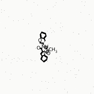 CS(=O)(=O)n1c(C(=O)N[C@H](C=O)Cc2ccccc2)cc2ccccc21